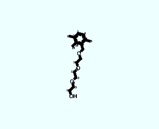 Cc1ccc(C)c(COCCOCCOCCO)c1C